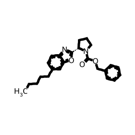 CCCCCc1ccc2nc([C@@H]3CCCN3C(=O)OCc3ccccc3)oc2c1